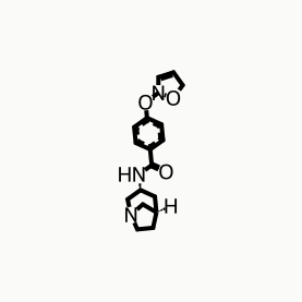 O=C(N[C@@H]1C[C@H]2CCN(C2)C1)c1ccc(ON2C=CCO2)cc1